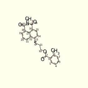 Cc1ccccc1C(=O)OCCSc1ccc2c3c(cccc13)C(=O)N(C)C2=O